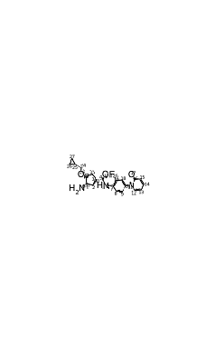 N[C@H]1C[C@@H](C(=O)Nc2ccc(-n3ccccc3=O)cc2F)C[C@@H]1OCC1CC1